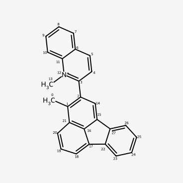 Cc1c(-c2ccc3ccccc3[n+]2C)cc2c3c(cccc13)-c1ccccc1-2